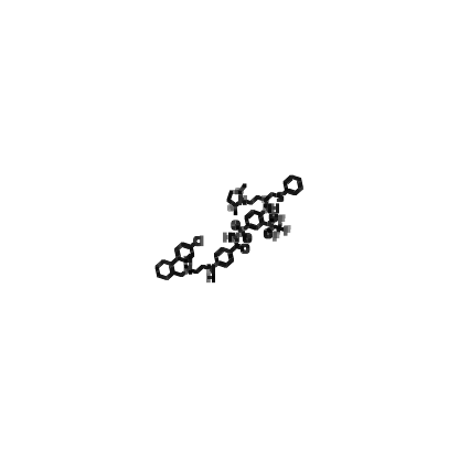 C[C@@H]1CC[C@H](C)N1CC[C@@H](CSc1ccccc1)Nc1ccc(S(=O)(=O)NC(=O)c2ccc(NCCNCC3=C(c4ccc(Cl)cc4)CCCC3)cc2)cc1S(=O)(=O)C(F)(F)F